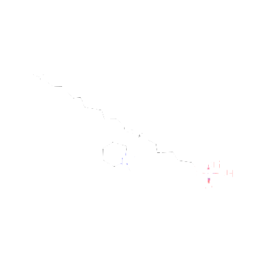 CCCCCCCCCCCCCCCCCCOP(=O)(O)O.C[N+]1(C)CCCCC1